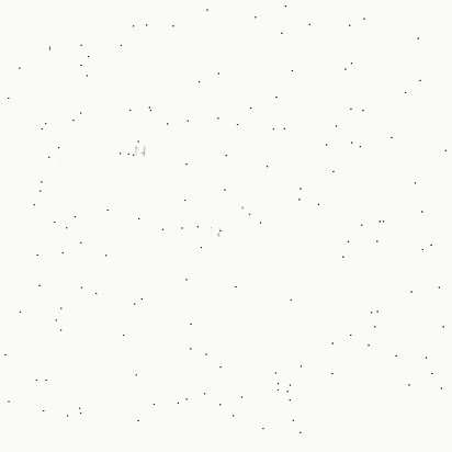 Cc1ccc(/N=N/c2cn(C)c3ccc(C)cc23)cc1